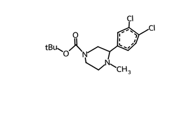 CN1CCN(C(=O)OC(C)(C)C)CC1c1ccc(Cl)c(Cl)c1